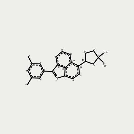 Cc1cc(C)cc(C2=Nc3ccc(C4CCC(F)(F)C4)c4cccc2c34)c1